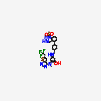 CN(c1ncnc2sc(CC(F)(F)F)cc12)[C@H]1C[C@@H](NCc2ccc(-c3cccc(NS(C)(=O)=O)c3C=N)cc2)C[C@H]1O